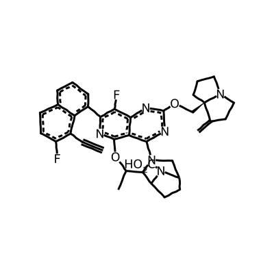 C#Cc1c(F)ccc2cccc(-c3nc4c5c(nc(OC[C@@]67CCCN6CCC7=C)nc5c3F)N3CC5CCC(C3C(C)O4)N5C(=O)O)c12